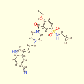 CCOc1ccc(S(=O)(=O)NCC2CC2)cc1C(=O)N1CCN(CCCc2c[nH]c3ccc(C#N)cc23)CC1